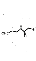 O=[C]CCNC(=O)CBr